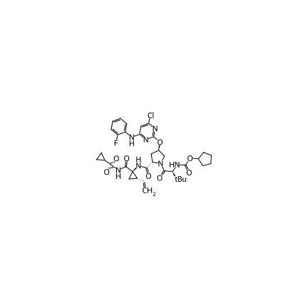 C=C[C@@H]1C[C@]1(NC(=O)[C@@H]1C[C@@H](Oc2nc(Cl)cc(Nc3ccccc3F)n2)CN1C(=O)[C@@H](NC(=O)OC1CCCC1)C(C)(C)C)C(=O)NS(=O)(=O)C1CC1